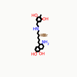 Br.Br.Cc1c(O)cc(CCNCCCCCCC2c3ccc(O)c(O)c3CCC2N)cc1O